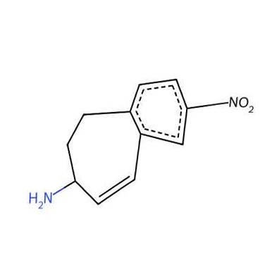 NC1C=Cc2cc([N+](=O)[O-])ccc2CC1